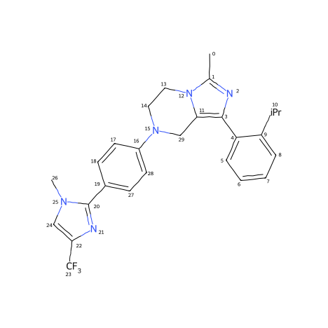 Cc1nc(-c2ccccc2C(C)C)c2n1CCN(c1ccc(-c3nc(C(F)(F)F)cn3C)cc1)C2